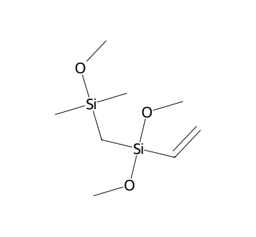 C=C[Si](C[Si](C)(C)OC)(OC)OC